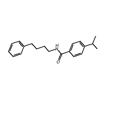 CC(C)c1ccc(C(=O)NCCCCc2ccccc2)cc1